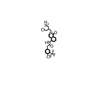 NCC(CCl)Cn1ccc2c(NC(=O)Cc3ccc(Cl)c(C(F)(F)F)c3)cccc2c1=O